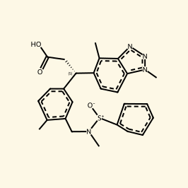 Cc1ccc([C@H](CC(=O)O)c2ccc3c(nnn3C)c2C)cc1CN(C)[S+]([O-])c1ccccc1